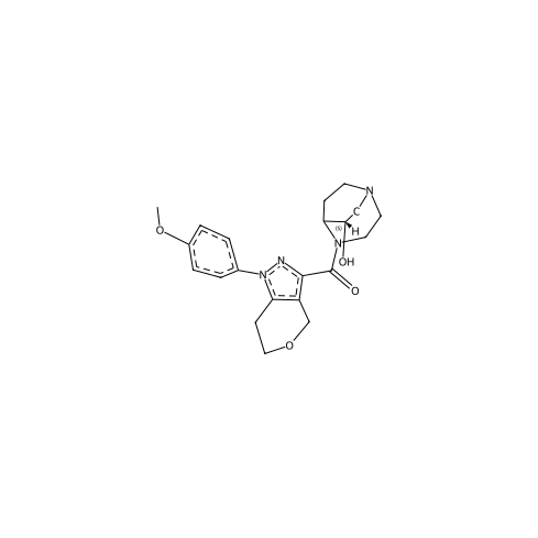 COc1ccc(-n2nc(C(=O)N3CCN4CCC3[C@@H](O)C4)c3c2CCOC3)cc1